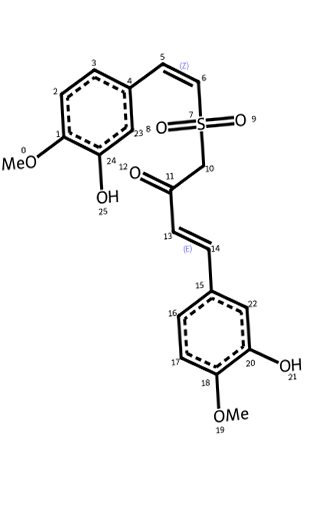 COc1ccc(/C=C\S(=O)(=O)CC(=O)/C=C/c2ccc(OC)c(O)c2)cc1O